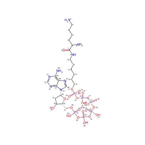 NCCCCC(N)C(=O)NCCCCCCOP(=O)(O)OP(=O)(O)OP(=O)(O)OP(=O)(O)OP(=O)(O)OP(=O)(O)OC[C@H]1O[C@@H](n2cnc3c(N)ncnc32)CC1O